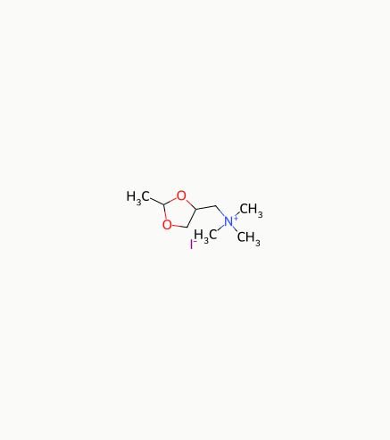 CC1OCC(C[N+](C)(C)C)O1.[I-]